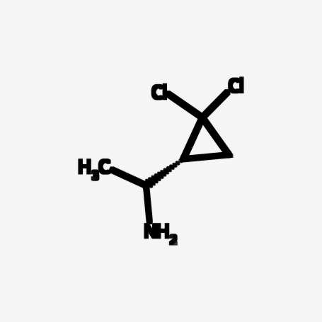 CC(N)[C@H]1CC1(Cl)Cl